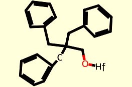 [Hf][O]CC(Cc1ccccc1)(Cc1ccccc1)Cc1ccccc1